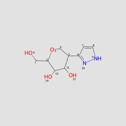 OCC1OCC(c2cc[nH]n2)C(O)C1O